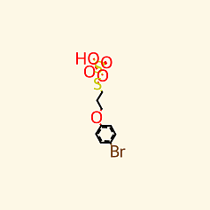 O=S(=O)(O)OSCCCOc1ccc(Br)cc1